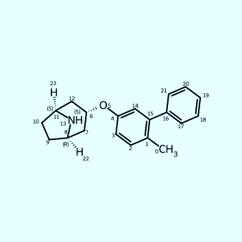 Cc1ccc(O[C@@H]2C[C@H]3CC[C@@H](C2)N3)cc1-c1ccccc1